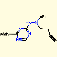 C#CCCN(CCC)Nc1ncnc(NC)n1